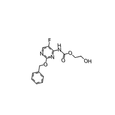 O=C(Nc1nc(OCc2ccccc2)ncc1F)OCCO